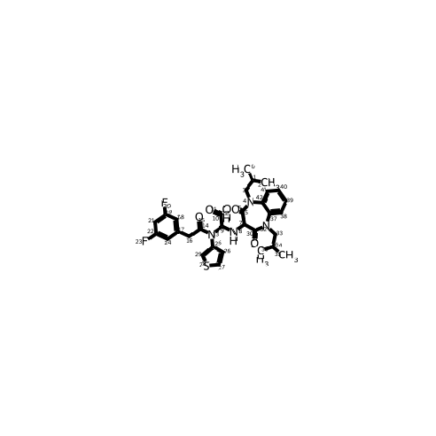 CC(C)CN1C(=O)C(NC(C(=O)O)N(C(=O)Cc2cc(F)cc(F)c2)c2ccsc2)C(=O)N(CC(C)C)c2ccccc21